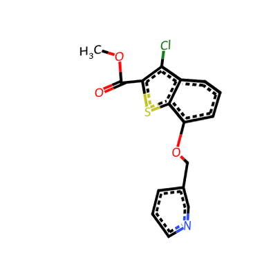 COC(=O)c1sc2c(OCc3cccnc3)cccc2c1Cl